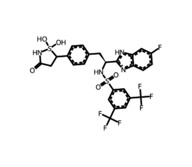 O=C1CC(c2ccc(C[C@H](NS(=O)(=O)c3cc(C(F)(F)F)cc(C(F)(F)F)c3)c3nc4ccc(F)cc4[nH]3)cc2)S(O)(O)N1